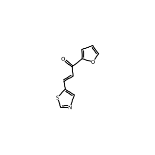 O=C(C=Cc1cncs1)c1ccco1